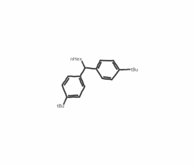 CCCCCCC(c1ccc(C(C)(C)C)cc1)c1ccc(C(C)(C)C)cc1